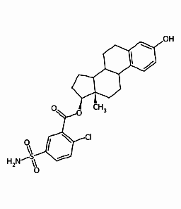 C[C@]12CCC3c4ccc(O)cc4CCC3C1CC[C@@H]2OC(=O)c1cc(S(N)(=O)=O)ccc1Cl